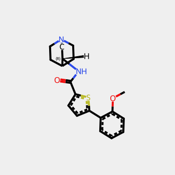 COc1ccccc1-c1ccc(C(=O)N[C@H]2CN3CCC2CC3)s1